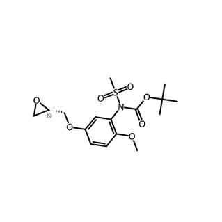 COc1ccc(OC[C@@H]2CO2)cc1N(C(=O)OC(C)(C)C)S(C)(=O)=O